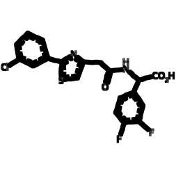 O=C(Cc1csc(-c2cccc(Cl)c2)n1)NC(C(=O)O)c1ccc(F)c(F)c1